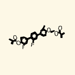 C=C(C)C(=O)OCCOc1ccc(-c2ccc(-c3ccc(OC(=O)C(=C)C)c(F)c3)c(F)c2)cc1C